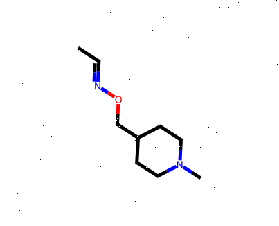 C/C=N/OCC1CCN(C)CC1